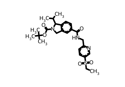 CCS(=O)(=O)c1ccc(CNC(=O)c2ccc3c(c2)CN(C(=O)OC(C)(C)C)C3C(C)C)nc1